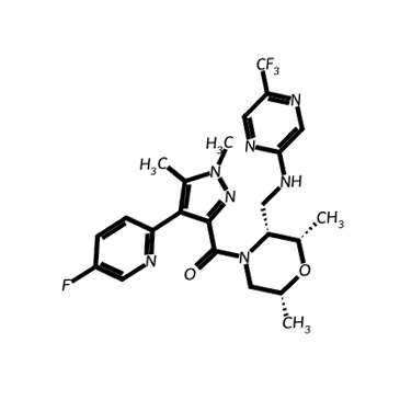 Cc1c(-c2ccc(F)cn2)c(C(=O)N2C[C@@H](C)O[C@@H](C)[C@H]2CNc2cnc(C(F)(F)F)cn2)nn1C